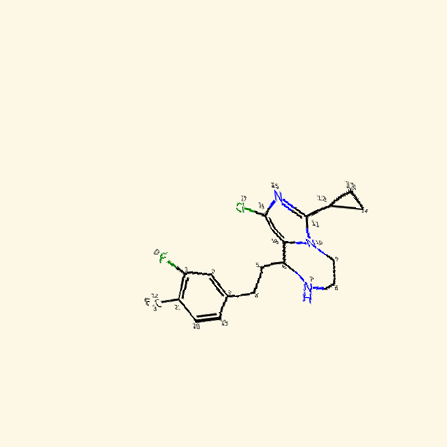 Fc1cc(CCC2NCCn3c(C4CC4)nc(Cl)c32)ccc1C(F)(F)F